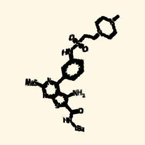 CSc1nc(-c2cccc(NS(=O)(=O)CCN3CCN(C)CC3)c2)c2c(N)c(C(=O)NC(C)(C)C)sc2n1